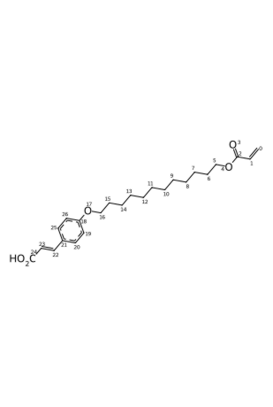 C=CC(=O)OCCCCCCCCCCCCOc1ccc(C=CC(=O)O)cc1